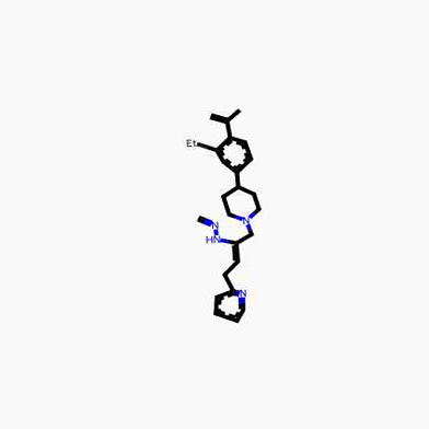 C=NN/C(=C\Cc1ccccn1)CN1CCC(c2ccc(C(=C)C)c(CC)c2)CC1